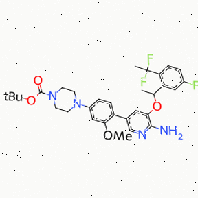 COc1cc(N2CCN(C(=O)OC(C)(C)C)CC2)ccc1-c1cnc(N)c(OC(C)c2cc(F)ccc2C(C)(F)F)c1